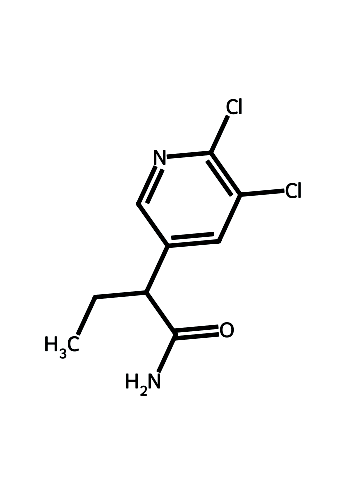 CCC(C(N)=O)c1cnc(Cl)c(Cl)c1